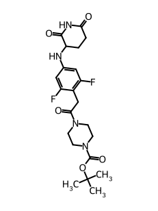 CC(C)(C)OC(=O)N1CCN(C(=O)Cc2c(F)cc(NC3CCC(=O)NC3=O)cc2F)CC1